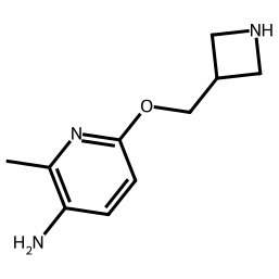 Cc1nc(OCC2CNC2)ccc1N